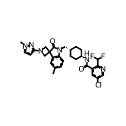 Cc1ccc2c(c1)C1(CN(c3ccn(C)n3)C1)C(=O)N2C[C@H]1CC[C@H](NC(=O)c2cc(Cl)cnc2C(F)F)CC1